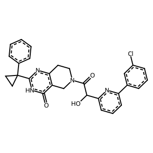 O=C(C(O)c1cccc(-c2cccc(Cl)c2)n1)N1CCc2nc(C3(c4ccccc4)CC3)[nH]c(=O)c2C1